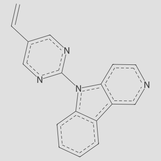 C=Cc1cnc(-n2c3ccccc3c3cnccc32)nc1